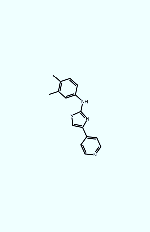 Cc1ccc(Nc2nc(-c3ccncc3)cs2)cc1C